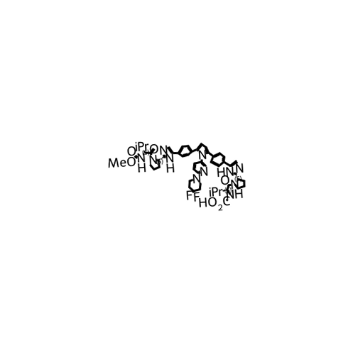 COC(=O)N[C@H](C(=O)N1CCC[C@H]1c1ncc(-c2ccc(-c3ccc(-c4ccc(-c5cnc([C@@H]6CCCN6C(=O)[C@@H](NC(=O)O)C(C)C)[nH]5)cc4)n3-c3ccc(N4CCC(F)(F)CC4)nc3)cc2)[nH]1)C(C)C